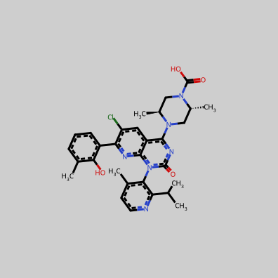 Cc1cccc(-c2nc3c(cc2Cl)c(N2C[C@@H](C)N(C(=O)O)C[C@@H]2C)nc(=O)n3-c2c(C)ccnc2C(C)C)c1O